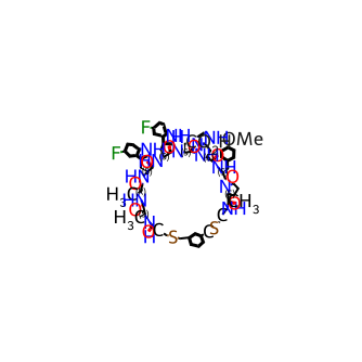 COc1ccc(C[C@@H]2NC(=O)[C@H](Cc3ncc[nH]3)NC(=O)[C@H](CC(=O)O)NC(=O)[C@H](Cc3c[nH]c4ccc(F)cc34)NC(=O)[C@H](Cc3c[nH]c4ccc(F)cc34)NC(=O)[C@@H](C)NC(=O)[C@H](C)NC(=O)CCSCc3cccc(c3)CSCCNC(=O)[C@]3(C)CCCN3C2=O)cc1